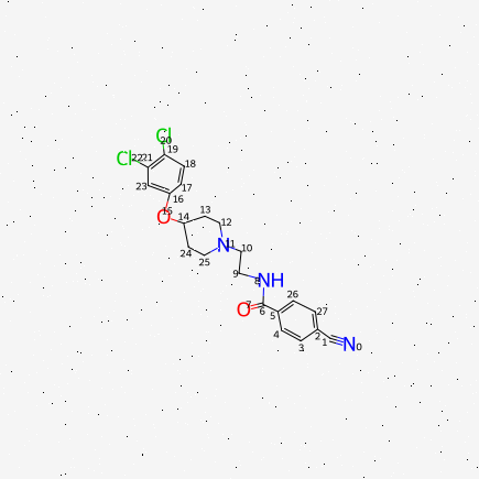 N#Cc1ccc(C(=O)NCCN2CCC(Oc3ccc(Cl)c(Cl)c3)CC2)cc1